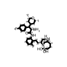 C[C@@H]1CC(C(c2ccc(F)cc2)[C@H](N)C(=O)Nc2cccc(F)c2CC[C@H]2CN[C@@H]3CCCS(O)(O)N2C3)C[C@H](C)O1